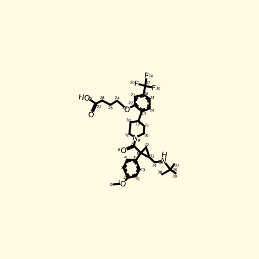 COc1ccc(C2(C(=O)N3CCC(c4ccc(C(F)(F)F)cc4OCCCC(=O)O)CC3)CC2CNC(C)(C)C)cc1